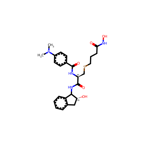 CN(C)c1ccc(C(=O)N[C@@H](CSCCCC(=O)NO)C(=O)NC2c3ccccc3C[C@H]2O)cc1